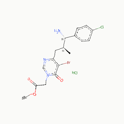 C[C@@H](Cc1ncn(CC(=O)OC(C)(C)C)c(=O)c1Br)[C@H](N)c1ccc(Cl)cc1.Cl